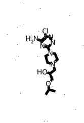 CC(C)OCC(O)CN1CCN(c2nnc(Cl)c(N)n2)CC1